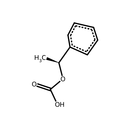 C[C@H](OC(=O)O)c1ccccc1